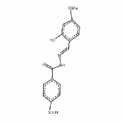 COc1ccc(/C=N/NC(=O)c2ccc(S(=O)(=O)O)cc2)c(O)c1